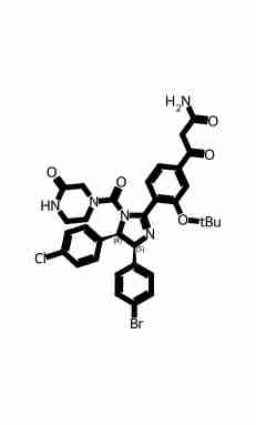 CC(C)(C)Oc1cc(C(=O)CC(N)=O)ccc1C1=N[C@@H](c2ccc(Br)cc2)[C@@H](c2ccc(Cl)cc2)N1C(=O)N1CCNC(=O)C1